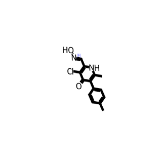 Cc1ccc(-c2c(C)[nH]c(/C=N/O)c(Cl)c2=O)cc1